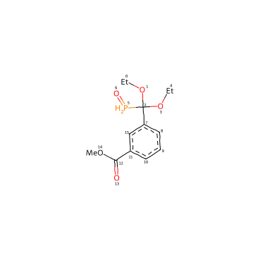 CCOC(OCC)([PH2]=O)c1cccc(C(=O)OC)c1